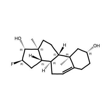 C[C@]12CC[C@H]3[C@@H](CC=C4CC[C@@H](O)C[C@@]43C)[C@@H]1C[C@@H](F)[C@@H]2O